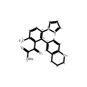 COC(=O)C(=O)c1c(C(F)(F)F)ccc(-n2cccn2)c1-c1ccc2c(c1)CCCO2